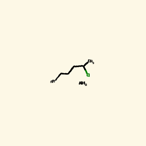 CCCCCCC(C)Cl.[AlH3]